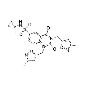 Cc1cc(Cn2c(=O)c3cc(S(=O)(=O)NC4(C)CC4)ccc3n(Cc3cc(C)no3)c2=O)on1